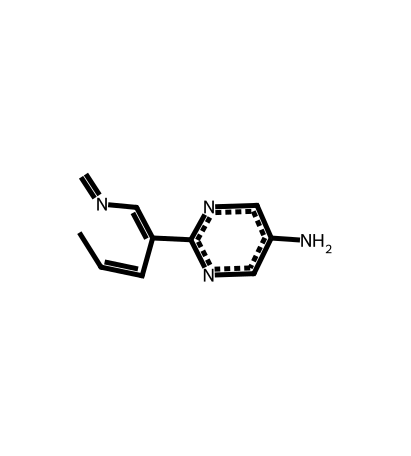 C=N/C=C(\C=C/C)c1ncc(N)cn1